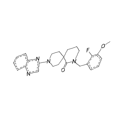 COc1cccc(CN2CCCC3(CCN(c4cnc5ccccc5n4)CC3)C2=O)c1F